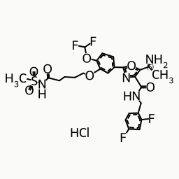 C[C@H](N)c1oc(-c2ccc(OC(F)F)c(OCCCCC(=O)NS(C)(=O)=O)c2)nc1C(=O)NCc1ccc(F)cc1F.Cl